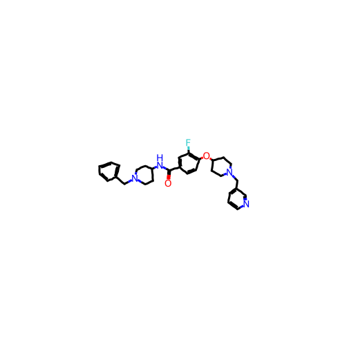 O=C(NC1CCN(Cc2ccccc2)CC1)c1ccc(OC2CCN(Cc3cccnc3)CC2)c(F)c1